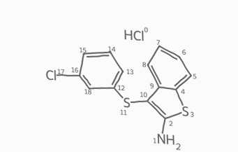 Cl.Nc1sc2ccccc2c1Sc1cccc(Cl)c1